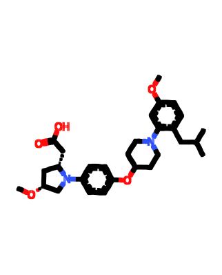 COc1ccc(CC(C)C)c(N2CCC(Oc3ccc(N4C[C@H](OC)C[C@@H]4CC(=O)O)cc3)CC2)c1